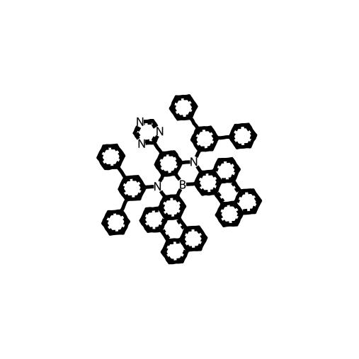 c1ccc(-c2cc(-c3ccccc3)cc(N3c4cc(-c5ncncn5)cc5c4B(c4cc6c7cccc8cccc(c9cccc(c43)c96)c87)c3cc4c6cccc7cccc(c8cccc(c3N5c3cc(-c5ccccc5)cc(-c5ccccc5)c3)c84)c76)c2)cc1